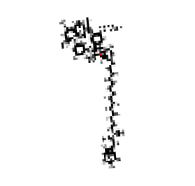 COc1cc(N2CCN(CCCCCCCCCCCCCCNC(=O)CC34CC5CC(CC3C5)C4)CC2)ccc1Nc1ncc2c(C)cc(=O)n(-c3cccc(NC(=O)C4CC4)c3)c2n1